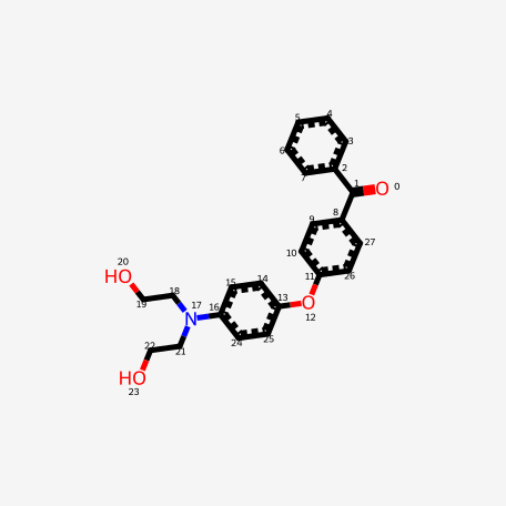 O=C(c1ccccc1)c1ccc(Oc2ccc(N(CCO)CCO)cc2)cc1